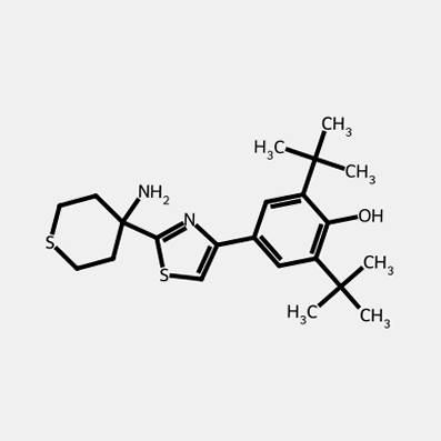 CC(C)(C)c1cc(-c2csc(C3(N)CCSCC3)n2)cc(C(C)(C)C)c1O